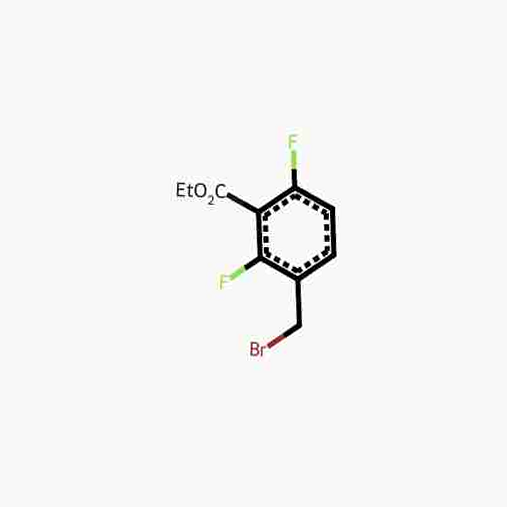 CCOC(=O)c1c(F)ccc(CBr)c1F